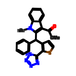 CCCCn1c(C(c2ccccc2)c2ccsc2-c2nnn[nH]2)c(C(=O)OC)c2ccccc21